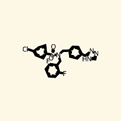 O=S(=O)(c1ccc(Cl)cc1)N(Cc1ccc(-c2nnc[nH]2)cc1)Cc1c(F)cccc1F